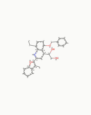 CCc1ccc(OCc2ccccc2)c2c(C(O)CO)cc(-c3oc4ccccc4c3C)nc12